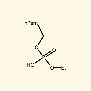 CCCCCCOP(=O)(O)OCC